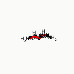 NCc1ccc(CC(=O)Nc2ccc([C@H]3CCC[C@H](c4ccc(NC(=O)Cc5ccc(CN)cn5)nn4)C3)nn2)nc1